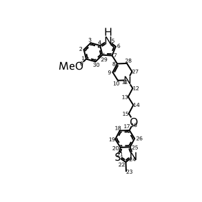 COc1ccc2[nH]cc(C3=CCN(CCCCOc4ccc5sc(C)nc5c4)CC3)c2c1